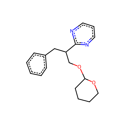 c1ccc(CC(COC2CCCCO2)c2ncccn2)cc1